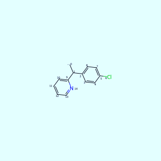 [CH2]C(c1ccc(Cl)cc1)c1ccccn1